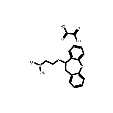 CN(C)CCSC1Cc2ccccc2Oc2ccccc21.O=C(O)C(=O)O